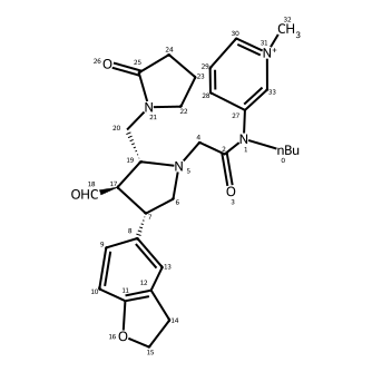 CCCCN(C(=O)CN1C[C@H](c2ccc3c(c2)CCO3)[C@@H](C=O)[C@@H]1CN1CCCC1=O)c1ccc[n+](C)c1